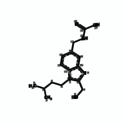 CC(C)CCn1c(CO)nc2cc(CNC(=O)O)ccc21